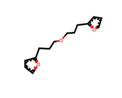 c1coc(CCCOCCCc2ccco2)c1